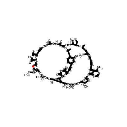 CC1NC(CN)C(=O)NCC2OC(C)c3ccc(cc3[N+](=O)[O-])C#Cc3cn(c(=O)[nH]c3=O)[C@H]3C[C@H](OP(=O)(O)OC[C@H]4O[C@H](C[C@@H]4O)n4cc(c5c(N)ncnc54)C#Cc4ccc1c([N+](=O)[O-])c4)[C@@H](COP(=O)(O)O[C@H]1C[C@@H](O[C@@H]1COS)n1cc(c(=O)[nH]c1=O)C#CCNC(=O)CNC2=O)O3